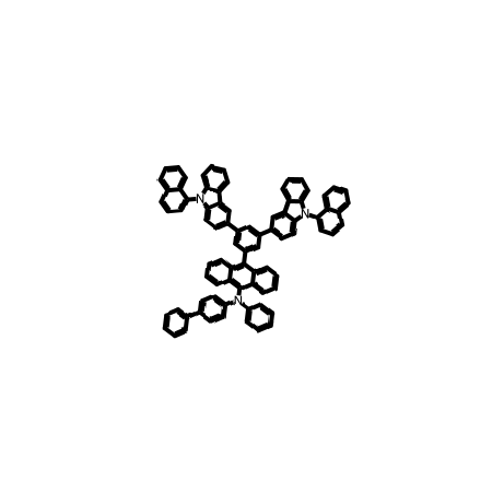 c1ccc(-c2ccc(N(c3ccccc3)c3c4ccccc4c(-c4cc(-c5ccc6c(c5)c5ccccc5n6-c5cccc6ccccc56)cc(-c5ccc6c(c5)c5ccccc5n6-c5cccc6ccccc56)c4)c4ccccc34)cc2)cc1